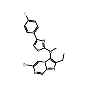 CCc1nc2cnc(Br)cn2c1N(C)c1nc(-c2ccc(F)cc2)cs1